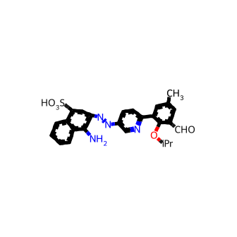 Cc1cc(C=O)c(OC(C)C)c(-c2ccc(N=Nc3cc(S(=O)(=O)O)c4ccccc4c3N)cn2)c1